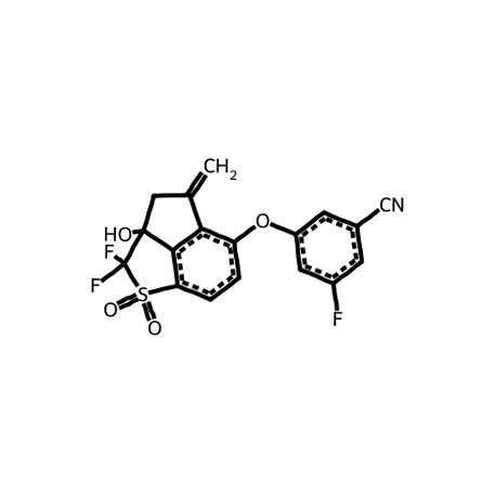 C=C1CC2(O)c3c(ccc(Oc4cc(F)cc(C#N)c4)c31)S(=O)(=O)C2(F)F